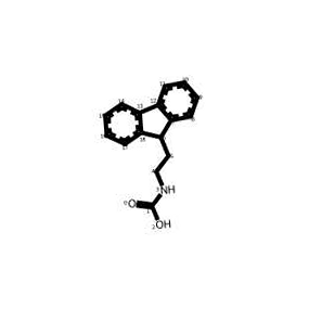 O=C(O)NCCC1c2ccccc2-c2ccccc21